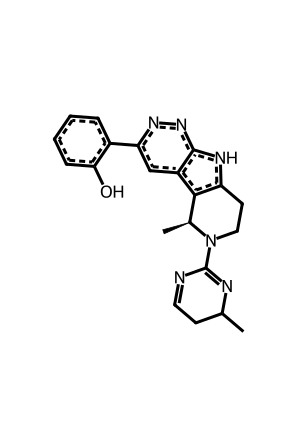 CC1CC=NC(N2CCc3[nH]c4nnc(-c5ccccc5O)cc4c3[C@@H]2C)=N1